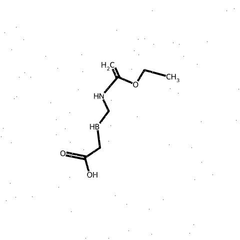 C=C(NCBCC(=O)O)OCC